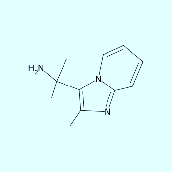 Cc1nc2ccccn2c1C(C)(C)N